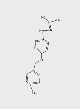 N#CC(C#N)=NNc1ccc(OCc2ccc(C(F)(F)F)cc2)nc1